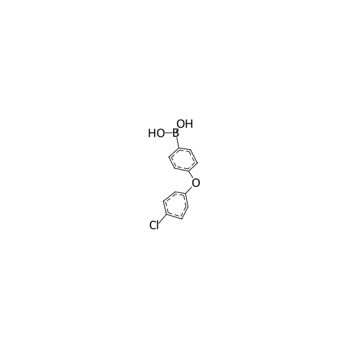 OB(O)c1ccc(Oc2ccc(Cl)cc2)cc1